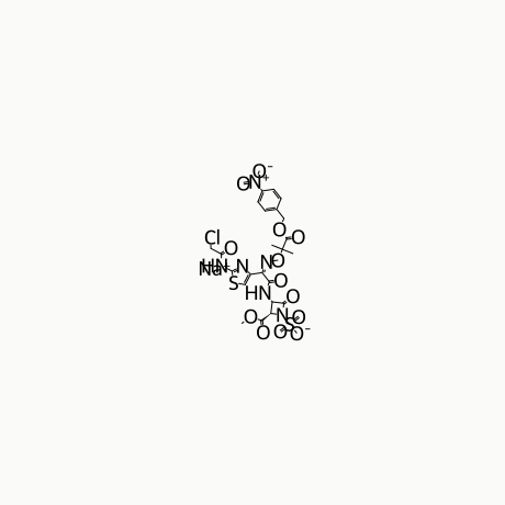 COC(=O)[C@H]1[C@H](NC(=O)C(=NOC(C)(C)C(=O)OCc2ccc([N+](=O)[O-])cc2)c2csc(NC(=O)CCl)n2)C(=O)N1S(=O)(=O)[O-].[Na+]